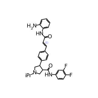 CC(C)N1CC(C(=O)Nc2ccc(F)c(F)c2)C(c2ccc(/C=C/C(=O)Nc3ccccc3N)cc2)C1